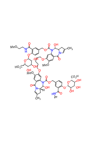 COCCNC(=O)c1cc(COC(=O)N2c3cc(OCCCCCOc4cc5c(cc4OC)C(=O)N4C=C(C)C[C@H]4C(O)N5C(=O)OCc4ccc(O[C@@H]5O[C@H](C(=O)O)[C@@H](O)[C@H](O)[C@H]5O)c(C(=O)NC(C)C)c4)c(OC)cc3C(=O)N3C=C(C)CC3C2O)ccc1O[C@@H]1O[C@H](C(=O)O)[C@@H](O)[C@H](O)[C@H]1O